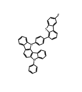 Fc1ccc2sc3c(-c4ccc(-n5c6ccccc6c6ccc7c(c8ccccc8n7-c7ccccc7)c65)cc4)cccc3c2c1